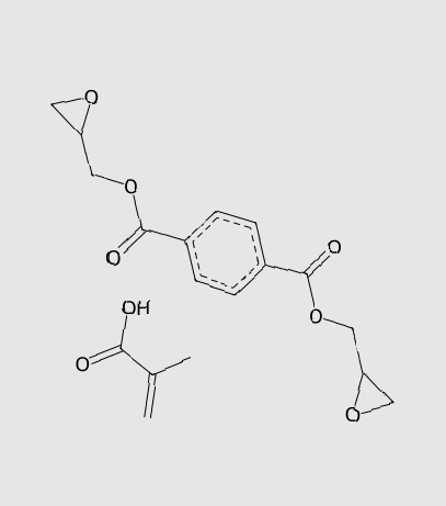 C=C(C)C(=O)O.O=C(OCC1CO1)c1ccc(C(=O)OCC2CO2)cc1